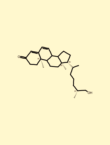 CC(CCC[C@@H](C)CO)[C@H]1CCC2C3C=CC4=CC(=O)CC[C@]4(C)C3CC[C@@]21C